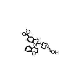 COC(=O)c1ccc2c(c1)SC(N1CCN(CCO)CC1)N2C1CCOc2ccccc21